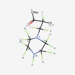 COC(=O)C(F)(C(F)(F)F)C(F)(F)N1C(F)(F)C(F)(F)N(F)C(F)(F)C1(F)F